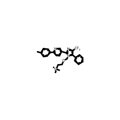 Cc1ccc(-c2ccc(-c3nc(C(F)(F)F)c(-c4ccccc4)n3COCC[Si](C)(C)C)cn2)cc1